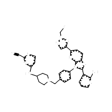 N#Cc1nccc(NC2CCN(Cc3ccc(-n4c(-c5cccnc5N)nc5ccc(-c6cnn(CF)n6)nc54)cc3)CC2)n1